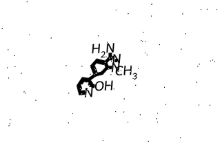 CN1N=C(N)C2=CC=C(c3cccnc3O)CC21